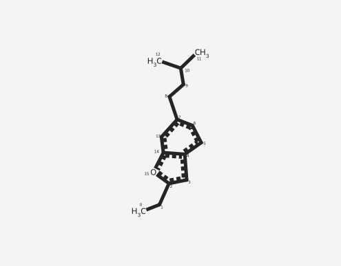 CCc1cc2ccc(CCC(C)C)cc2o1